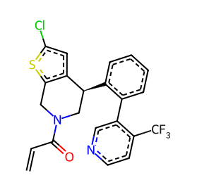 C=CC(=O)N1Cc2sc(Cl)cc2[C@@H](c2ccccc2-c2cnccc2C(F)(F)F)C1